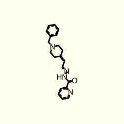 O=C(NN=CC=C1CCN(Cc2ccccc2)CC1)c1ccccn1